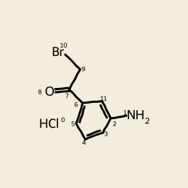 Cl.Nc1cccc(C(=O)CBr)c1